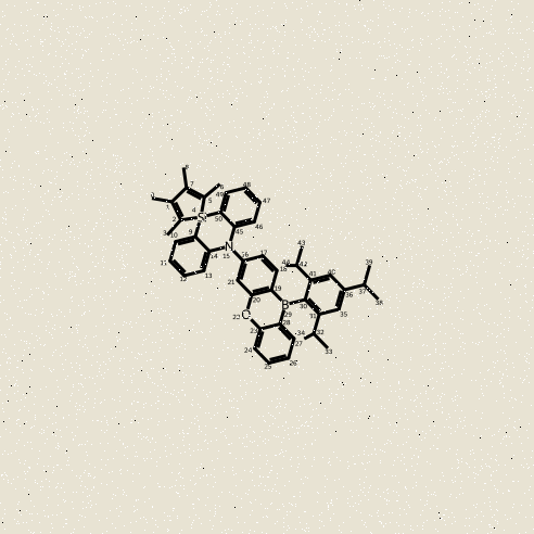 CC1=C(C)[Si]2(C(C)=C1C)c1ccccc1N(c1ccc3c(c1)Oc1ccccc1B3c1c(C(C)C)cc(C(C)C)cc1C(C)C)c1ccccc12